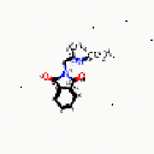 CC(CN1C(=O)c2ccccc2C1=O)NC(=O)O